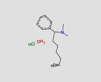 CCCCCCCCCCCCCCC(c1ccccc1)N(C)C.Cl.O